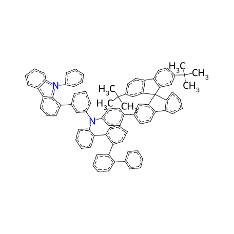 CC(C)(C)c1ccc2c(c1)C1(c3ccccc3-c3ccc(-c4ccc(N(c5cccc(-c6cccc7c8ccccc8n(-c8ccccc8)c67)c5)c5ccccc5-c5ccccc5-c5ccccc5-c5ccccc5)cc4)cc31)c1cc(C(C)(C)C)ccc1-2